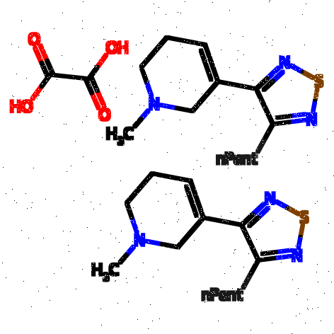 CCCCCc1nsnc1C1=CCCN(C)C1.CCCCCc1nsnc1C1=CCCN(C)C1.O=C(O)C(=O)O